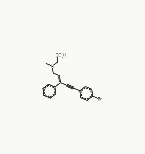 CN(CC=C(C#Cc1ccc(Br)cc1)c1ccccc1)CC(=O)O